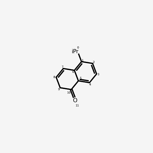 CC(C)c1cccc2c1C=CCC2=O